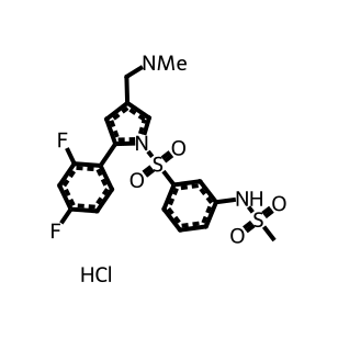 CNCc1cc(-c2ccc(F)cc2F)n(S(=O)(=O)c2cccc(NS(C)(=O)=O)c2)c1.Cl